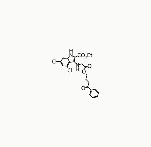 CCOC(=O)c1[nH]c2cc(Cl)cc(Cl)c2c1NCC(=O)OCCCC(=O)c1ccccc1